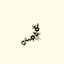 CC1(C)C(=O)N(c2ccc(C#N)c(C(F)(F)F)c2)C(=S)N1c1ccc(CCCC(=O)N2CCOCC2)c(F)c1